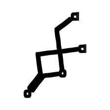 O=C1CC(Cl)(CCl)O1